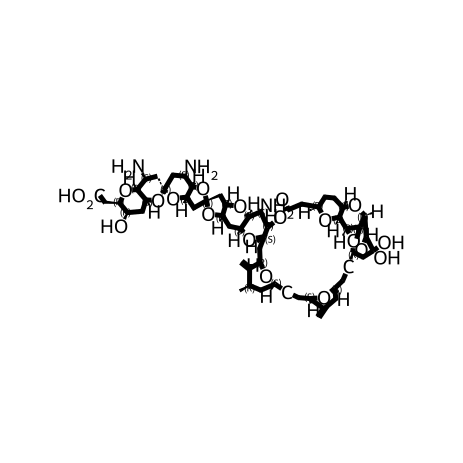 C=C1C[C@@H]2CC[C@]34CC(O)(O)C(O3)[C@@H]3O[C@H]5CC[C@H](CC(=O)O[C@@H]6[C@@H](N)[C@@H]7O[C@@H]8C[C@]9(C[C@@H]%10O[C@]%11(C[C@H](N)[C@@H]%12O[C@H](CC(=O)O)[C@H](O)C[C@@H]%12O%11)C[C@H](N)[C@@H]%10O9)O[C@@H]8C[C@@H]7O[C@H]6C[C@H]6O[C@@H](CC[C@@H]1O2)C[C@@H](C)C6=C)O[C@@H]5[C@H](O4)[C@@H]3C